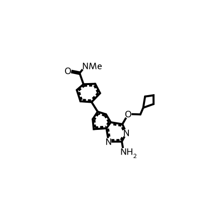 CNC(=O)c1ccc(-c2ccc3nc(N)nc(OCC4CCC4)c3c2)cc1